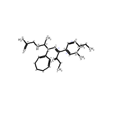 C=C(CC)C(=N\N(C1=CCCCC=C1)C(C)NCC(N)=O)/C(/C=N\CCC)=C/N(C)C